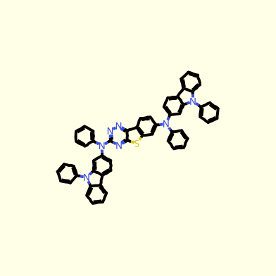 c1ccc(N(c2ccc3c(c2)sc2nc(N(c4ccccc4)c4ccc5c6ccccc6n(-c6ccccc6)c5c4)nnc23)c2ccc3c4ccccc4n(-c4ccccc4)c3c2)cc1